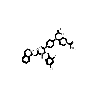 CC(=O)N1CCC(N(CC(C)C)C2CCN(C(=O)[C@@H](Cc3ccc(Cl)cc3F)NC(=O)C[C@H]3NCCc4ccccc43)CC2)CC1